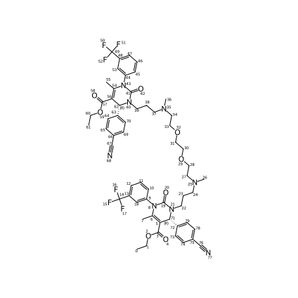 CCOC(=O)C1=C(C)N(c2cccc(C(F)(F)F)c2)C(=O)N(CCCN(C)CCOCCOCCN(C)CCCN2C(=O)N(c3cccc(C(F)(F)F)c3)C(C)=C(C(=O)OCC)[C@H]2c2ccc(C#N)cc2)[C@@H]1c1ccc(C#N)cc1